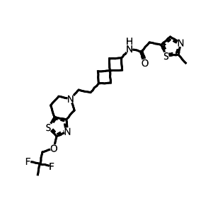 Cc1ncc(CC(=O)NC2CC3(CC(CCN4CCc5sc(OCC(C)(F)F)nc5C4)C3)C2)s1